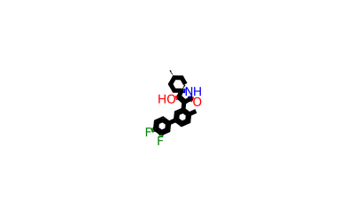 Cc1ccc(-c2ccc(F)c(F)c2)cc1C1=C(O)[C@]2(CC[C@@H](C)CC2)NC1=O